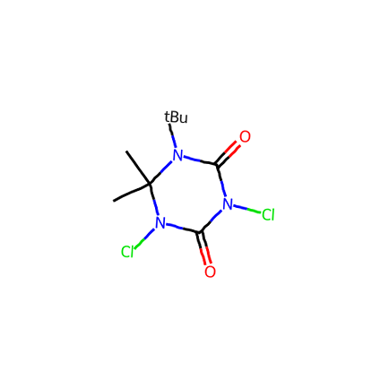 CC(C)(C)N1C(=O)N(Cl)C(=O)N(Cl)C1(C)C